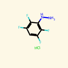 Cl.NNc1c(F)c(F)cc(F)c1F